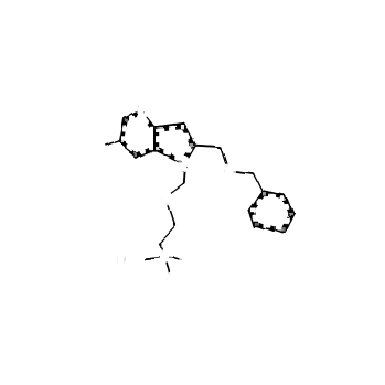 C[Si](C)(C)CCOCn1c(COCc2ccccc2)cc2ncc(F)cc21